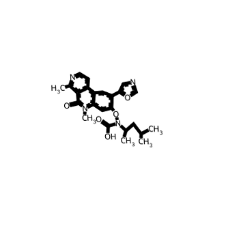 Cc1nccc2c1c(=O)n(C)c1cc(ON(C(=O)O)C(C)CC(C)C)c(-c3cnco3)cc21